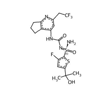 CC(C)(O)c1cc(F)c([S@@](N)(=O)=NC(=O)Nc2cc(CC(F)(F)F)nc3c2CCC3)s1